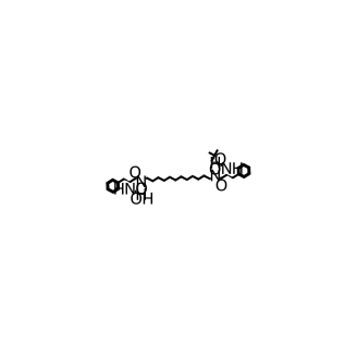 CC(C)(C)OC(=O)N[C@@H](Cc1ccccc1)C(=O)NCCCCCCCCCCCCNC(=O)[C@H](Cc1ccccc1)NC(=O)O